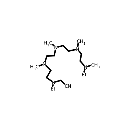 CCN(C)CCN(C)CCN(C)CCN(C)CCN(CC)CC#N